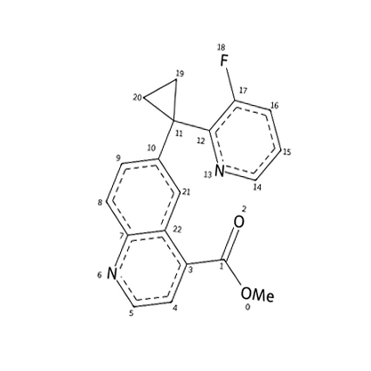 COC(=O)c1ccnc2ccc(C3(c4ncccc4F)CC3)cc12